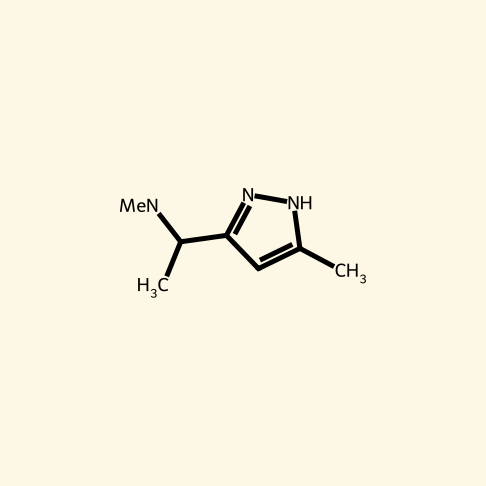 CNC(C)c1cc(C)[nH]n1